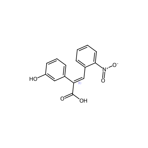 O=C(O)/C(=C/c1ccccc1[N+](=O)[O-])c1cccc(O)c1